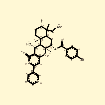 CCc1ccc(C(=O)O[C@H]2CC3C(C)(COC(C)=O)[C@@H](C)CC[C@]3(C)C3[C@@H](O)c4c(cc(-c5cccnc5)oc4=O)O[C@@]32C)cc1